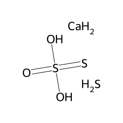 O=S(O)(O)=S.S.[CaH2]